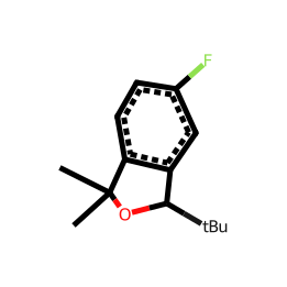 CC1(C)OC(C(C)(C)C)c2cc(F)ccc21